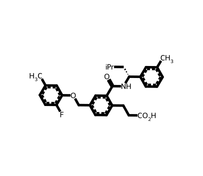 Cc1cccc([C@@H](CC(C)C)NC(=O)c2cc(COc3cc(C)ccc3F)ccc2CCC(=O)O)c1